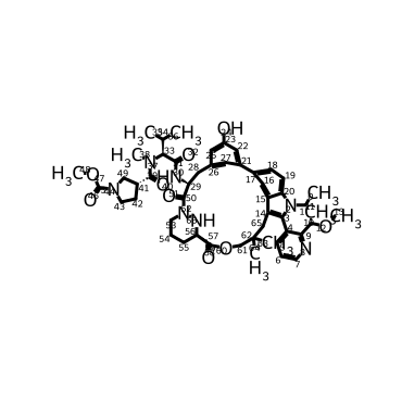 CCn1c(-c2cccnc2[C@H](C)OC)c2c3cc(ccc31)-c1cc(O)cc(c1)C[C@H](NC(=O)[C@H](C(C)C)N(C)C(=O)[C@@H]1CCN(C(=O)OC)C1)C(=O)N1CCC[C@](C=O)(COCC(C)(C)C2)N1